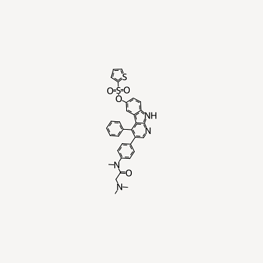 CN(C)CC(=O)N(C)c1ccc(-c2cnc3[nH]c4ccc(OS(=O)(=O)c5cccs5)cc4c3c2-c2ccccc2)cc1